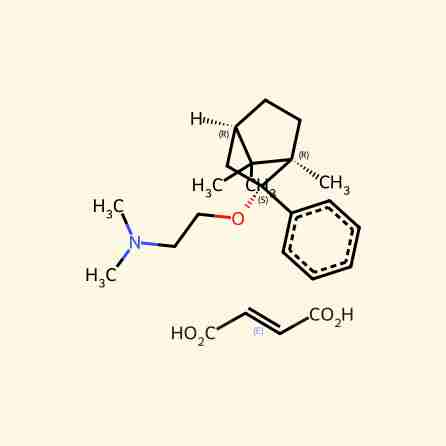 CN(C)CCO[C@]1(c2ccccc2)C[C@H]2CC[C@]1(C)C2(C)C.O=C(O)/C=C/C(=O)O